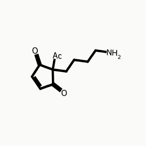 CC(=O)C1(CCCCN)C(=O)C=CC1=O